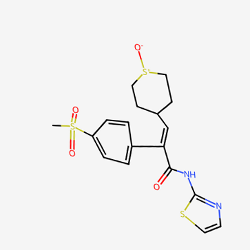 CS(=O)(=O)c1ccc(/C(=C\C2CC[S+]([O-])CC2)C(=O)Nc2nccs2)cc1